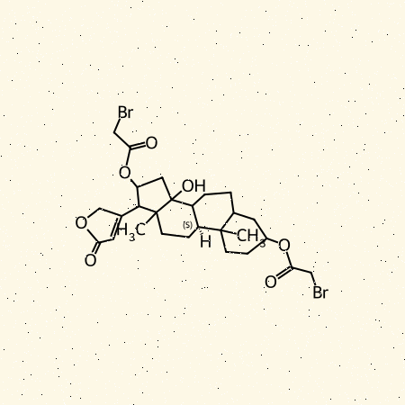 CC12CCC(OC(=O)CBr)CC1CCC1[C@@H]2CCC2(C)C(C3=CC(=O)OC3)C(OC(=O)CBr)CC12O